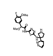 COc1cc([C@H](OC)C(=O)Nc2nnc(NC3(c4cccnn4)CCNC3)s2)ccc1F